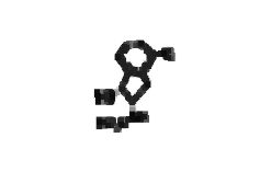 O=C(O)N[C@H]1Cc2c(Cl)cccc2[C@H]1O